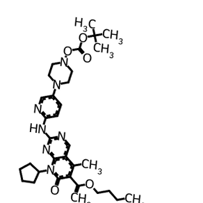 C=C(OCCCC)c1c(C)c2cnc(Nc3ccc(N4CCN(OC(=O)OC(C)(C)C)CC4)cn3)nc2n(C2CCCC2)c1=O